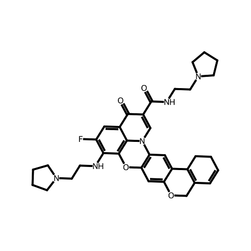 O=C(NCCN1CCCC1)c1cn2c3c(c(NCCN4CCCC4)c(F)cc3c1=O)Oc1cc3c(cc1-2)C1=C(C=CCC1)CO3